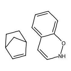 C1=CC2CCC1C2.C1=Cc2ccccc2ON1